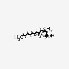 CCCCCCCCCCC(C)(C)CC(=O)O